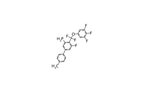 Cc1ccc(-c2cc(F)c(C(F)(F)Oc3cc(F)c(F)c(F)c3)c(P)c2)cc1